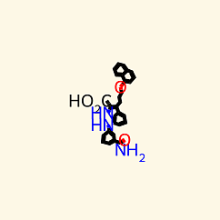 NC(=O)c1cccc(Nc2cccc3c(CCCOc4cccc5ccccc45)c(C(=O)O)[nH]c23)c1